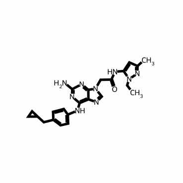 CCn1nc(C)cc1NC(=O)Cn1cnc2c(Nc3ccc(CC4CC4)cc3)nc(N)nc21